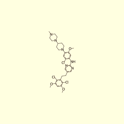 COc1cc(Nc2ncc(CCc3c(Cl)c(OC)cc(OC)c3Cl)cn2)c(Cl)cc1N1CCC(N2CCN(C)CC2)CC1